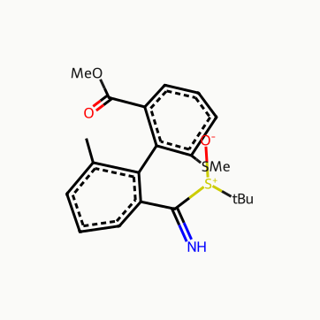 COC(=O)c1cccc(SC)c1-c1c(C)cccc1C(=N)[S+]([O-])C(C)(C)C